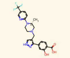 C[C@@H]1CN(Cc2c[nH]nc2-c2ccc(C(=O)O)c(O)c2)CCN1c1ccc(C(F)(F)F)cn1